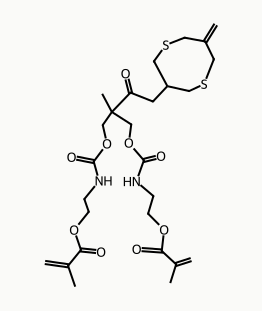 C=C1CSCC(CC(=O)C(C)(COC(=O)NCCOC(=O)C(=C)C)COC(=O)NCCOC(=O)C(=C)C)CSC1